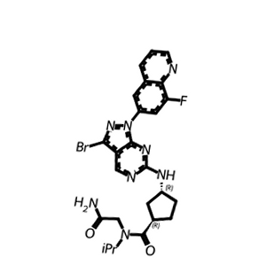 CC(C)N(CC(N)=O)C(=O)[C@@H]1CC[C@@H](Nc2ncc3c(Br)nn(-c4cc(F)c5ncccc5c4)c3n2)C1